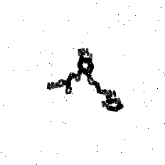 COC(=O)COc1cc(N)ccc1OCCNc1ncccn1